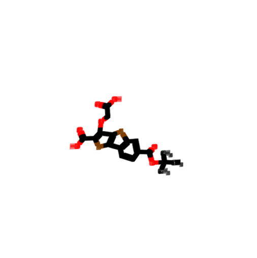 CC(C)(C)OC(=O)c1ccc2c(c1)sc1c(OCC(=O)O)c(C(=O)O)sc12